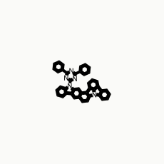 c1ccc(-c2nc(-c3ccccc3)nc(-n3c4ccccc4c4cc5ccc6c(c5cc43)c3cccc4c5ccccc5n6c43)n2)cc1